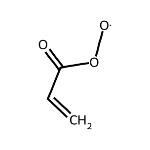 C=CC(=O)O[O]